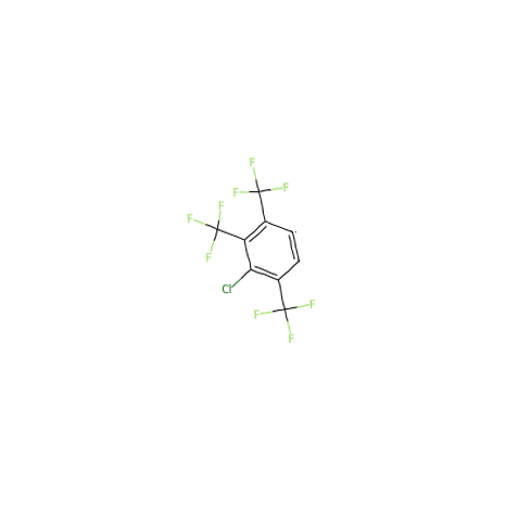 FC(F)(F)c1[c]cc(C(F)(F)F)c(Cl)c1C(F)(F)F